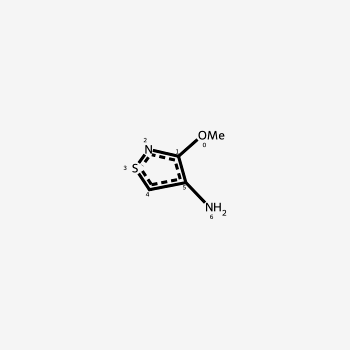 COc1nscc1N